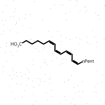 CCCCC\C=C/C=C\C=C/C=C\CCCCC(=O)O